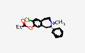 CCC(=O)Oc1cc2c(cc1Cl)CCN(C)[C@H](c1ccccc1)C2